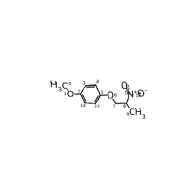 COc1ccc(OCC(C)[N+](=O)[O-])cc1